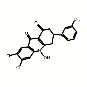 O=C1CC(c2cccc(C(F)(F)F)c2)Cc2c1c(=O)c1cc(Cl)c(Cl)cc1n2O